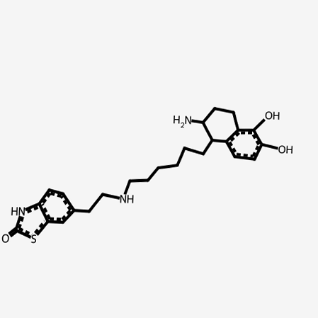 NC1CCc2c(ccc(O)c2O)C1CCCCCCNCCc1ccc2[nH]c(=O)sc2c1